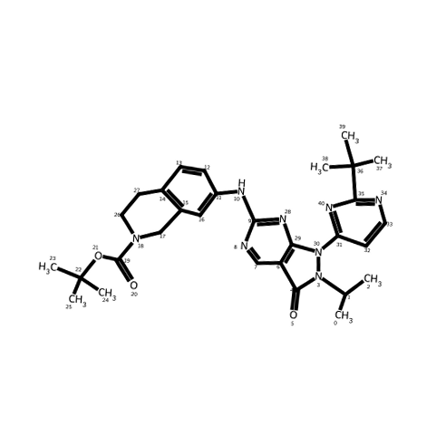 CC(C)n1c(=O)c2cnc(Nc3ccc4c(c3)CN(C(=O)OC(C)(C)C)CC4)nc2n1-c1ccnc(C(C)(C)C)n1